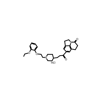 CCOc1ccccc1OCCN1CCC(CCC(=O)c2cc3c4c(c2)CCN4C(=O)CC3)CC1.Cl